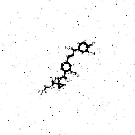 N#Cc1cc(C(/C=C/c2ccc(C(=O)NC3(C(=O)NCC(F)(F)F)CC3)c(C(F)(F)F)c2)C(F)(F)F)ccc1F